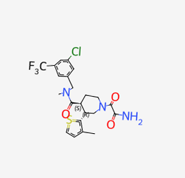 Cc1ccsc1[C@H]1CN(C(=O)C(N)=O)CC[C@@H]1C(=O)N(C)Cc1cc(Cl)cc(C(F)(F)F)c1